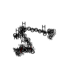 C#CCCCCN(C(=O)[C@@H](NC(=O)[C@H]1CCCCN1C)[C@@H](C)CC)[C@H](C[C@@H](OC(C)=O)c1nc(C(=O)N[C@@H](Cc2ccc(NC(=O)OCc3ccc(NC(=O)[C@H](CCCNC(N)=O)NC(=O)[C@@H](NC(=O)CCOCCOCCOCCOCCNC(=O)CCC(=O)N4Cc5ccccc5C#Cc5ccccc54)C(C)C)cc3)cc2)CC(C)(C)C(=O)O)cs1)C(C)C